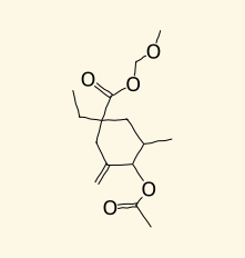 C=C1CC(CC)(C(=O)OCOC)CC(C)C1OC(C)=O